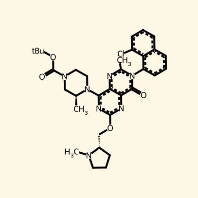 Cc1nc2c(N3CCN(C(=O)OC(C)(C)C)C[C@@H]3C)nc(OC[C@@H]3CCCN3C)nc2c(=O)n1-c1cccc2cccc(Cl)c12